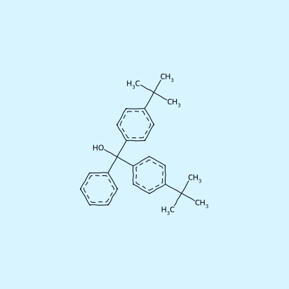 CC(C)(C)c1ccc(C(O)(c2ccccc2)c2ccc(C(C)(C)C)cc2)cc1